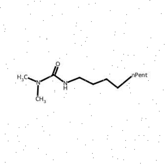 CCCCCCCCCNC(=O)N(C)C